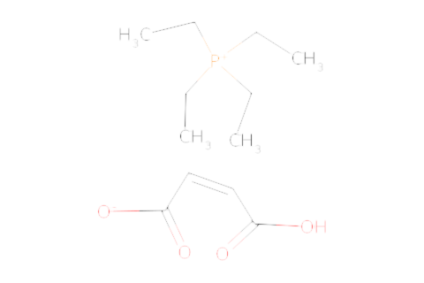 CC[P+](CC)(CC)CC.O=C([O-])/C=C\C(=O)O